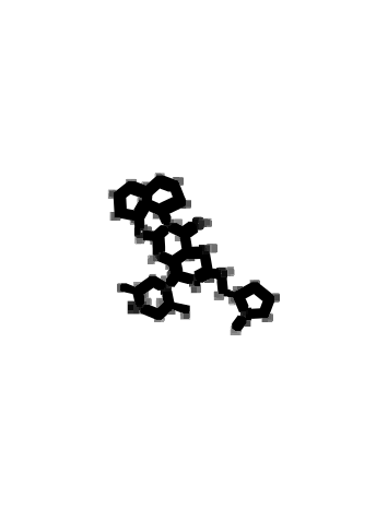 Cc1nc2c(N3C[C@H](C)NC[C@@H]3C)nc(OC[C@@H]3CCCN3C)nc2c(=O)n1-c1cccc2cccc(Cl)c12